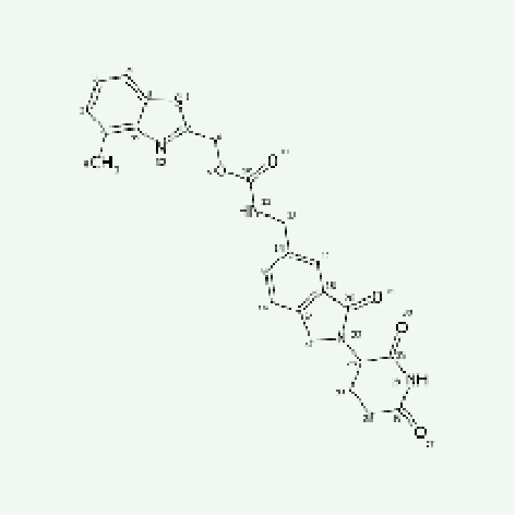 Cc1cccc2sc(COC(=O)NCc3ccc4c(c3)C(=O)N(C3CCC(=O)NC3=O)C4)nc12